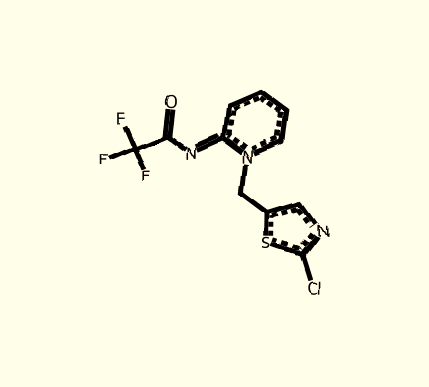 O=C(N=c1ccccn1Cc1cnc(Cl)s1)C(F)(F)F